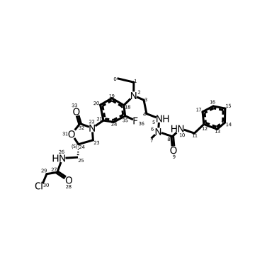 CCN(CCNN(C)C(=O)NCc1ccccc1)c1ccc(N2C[C@H](CNC(=O)CCl)OC2=O)cc1F